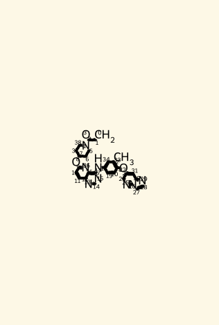 C=CC(=O)N1CCC(Oc2ccc3ncnc(Nc4ccc(Oc5cnn6ccnc6c5)c(C)c4)c3n2)CC1